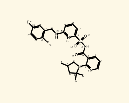 CC1CN(c2ncccc2C(=O)NS(=O)(=O)c2cccc(NCc3cc(F)ccc3F)n2)C(C)(C)C1